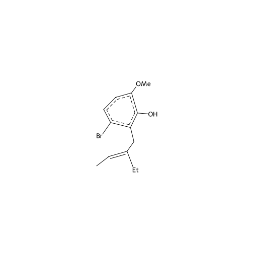 CC=C(CC)Cc1c(Br)ccc(OC)c1O